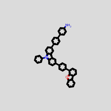 Nc1ccc(-c2ccc(-c3ccc4c(c3)c3cc(-c5ccc(-c6cccc7c6oc6ccccc67)cc5)ccc3n4-c3ccccc3)cc2)cc1